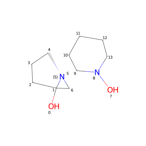 OC12CCC[N@]1C2.ON1CCCCC1